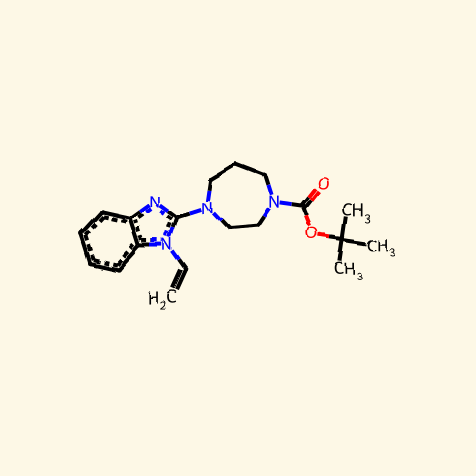 C=Cn1c(N2CCCN(C(=O)OC(C)(C)C)CC2)nc2ccccc21